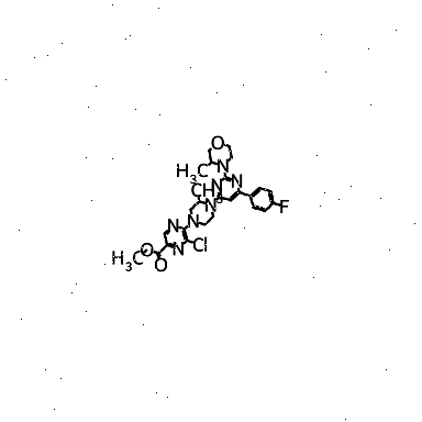 COC(=O)c1cnc(N2CCN(c3cc(-c4ccc(F)cc4)nc(N4CCOCC4C)n3)[C@H](C)C2)c(Cl)n1